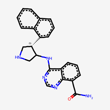 NC(=O)c1cccc2c(NC3CNC[C@@H]3c3cccc4ccccc34)ncnc12